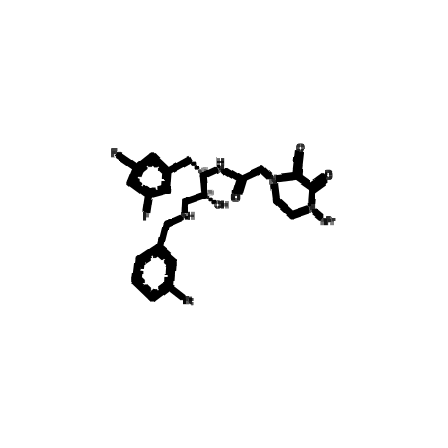 CCCN1CCN(CC(=O)N[C@@H](Cc2cc(F)cc(F)c2)[C@H](O)CNCc2cccc(CC)c2)C(=O)C1=O